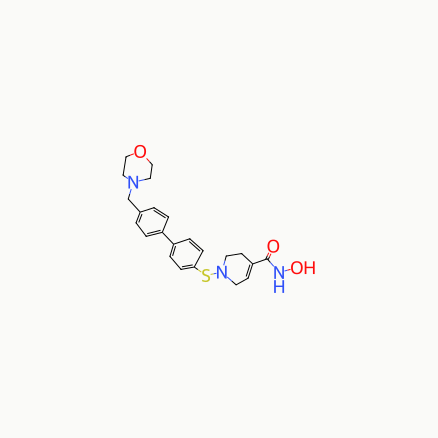 O=C(NO)C1=CCN(Sc2ccc(-c3ccc(CN4CCOCC4)cc3)cc2)CC1